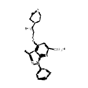 Cc1nn(-c2ccccc2)c2nc(C(=O)O)cc(OC[C@H](F)C3CCOCC3)c12